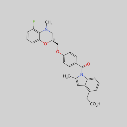 Cc1cc2c(CC(=O)O)cccc2n1C(=O)c1ccc(OC[C@@H]2CN(C)c3c(F)cccc3O2)cc1